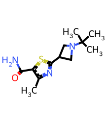 Cc1nc(C2CN(C(C)(C)C)C2)sc1C(N)=O